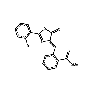 COC(=O)c1ccccc1C=C1N=C(c2ccccc2Br)OC1=O